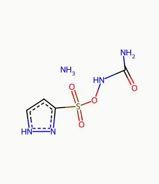 N.NC(=O)NOS(=O)(=O)c1cc[nH]n1